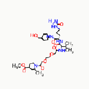 COC(=O)C1CCN(C(=O)COCCOCC(=O)N[C@H](C(=O)N[C@@H](CCCNC(N)=O)C(=O)Nc2ccc(CO)cc2)C(C)C)C(C)C1